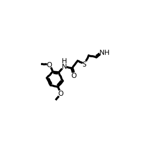 COc1ccc(OC)c(NC(=O)CSCC=N)c1